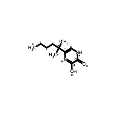 CCCCC(C)(C)c1c[nH]c(=O)c(O)n1